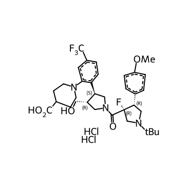 COc1ccc([C@@H]2CN(C(C)(C)C)C[C@@]2(F)C(=O)N2C[C@H](CO)[C@@H](c3ccc(C(F)(F)F)cc3N3CCC(C(=O)O)CC3)C2)cc1.Cl.Cl